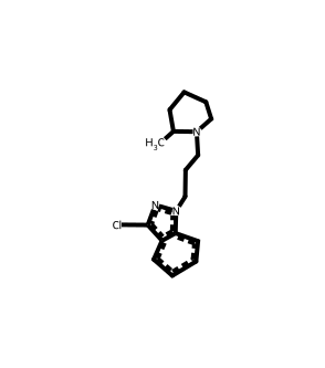 CC1CCCCN1CCCn1nc(Cl)c2ccccc21